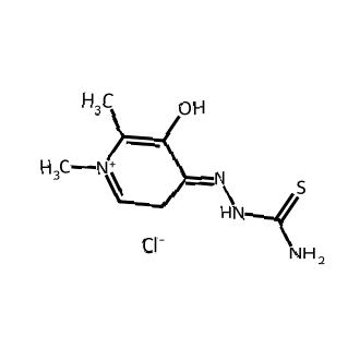 CC1=C(O)C(=NNC(N)=S)CC=[N+]1C.[Cl-]